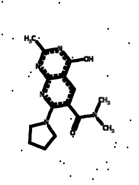 Cc1nc(O)c2cc(C(=O)N(C)C)c(N3CCCC3)nc2n1